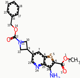 COC(=O)c1sc2cc(C3CN(C(=O)OCc4ccccc4)C3)cnc2c1N